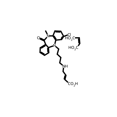 CN1C(=O)c2ccccc2N(CCCCNC/C=C/C(=O)O)c2cc(Cl)ccc21.O=C(O)/C=C\C(=O)O